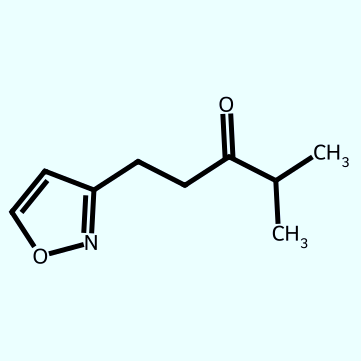 CC(C)C(=O)CCc1ccon1